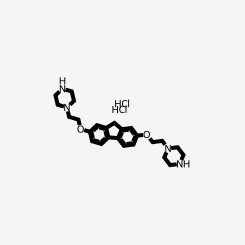 Cl.Cl.c1cc2c(cc1OCCN1CCNCC1)Cc1cc(OCCN3CCNCC3)ccc1-2